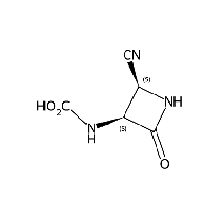 N#C[C@H]1NC(=O)[C@H]1NC(=O)O